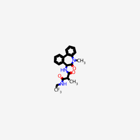 CC(C(=O)NCC(F)(F)F)C(=O)NC1C(=O)N(C)c2ccccc2-c2ccccc21